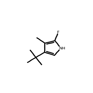 Cc1c(C(C)(C)C)c[nH]c1F